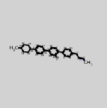 C/C=C/Cc1ccc(-c2ccc(-c3ccc(C4CCC(C)CC4)cc3)cc2F)cc1